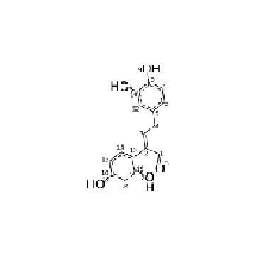 O=CC(=CCc1ccc(O)c(O)c1)c1ccc(O)cc1O